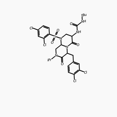 CC(C)N1CC2N(C(=O)C(NC(=O)NC(C)(C)C)CN2S(=O)(=O)c2ccc(Cl)cc2Cl)C(Cc2ccc(Cl)c(Cl)c2)C1=O